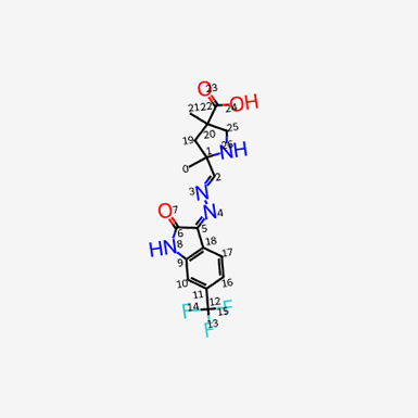 CC1(C=NN=C2C(=O)Nc3cc(C(F)(F)F)ccc32)CC(C)(C(=O)O)CN1